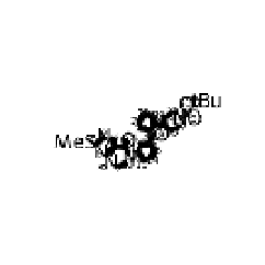 CSc1ncc2c(n1)N(C)CCN(c1cccc(COC3(c4ccccc4)CCN(C(=O)OC(C)(C)C)CC3)c1)C2=O